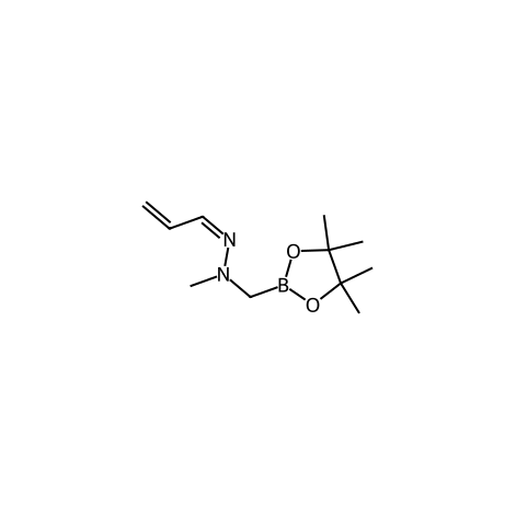 C=C/C=N\N(C)CB1OC(C)(C)C(C)(C)O1